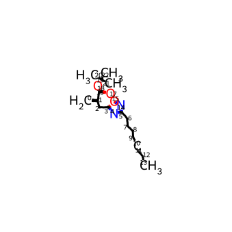 C=C(Cc1nc(CCCCCCCC)no1)C(=O)OC(C)(C)C